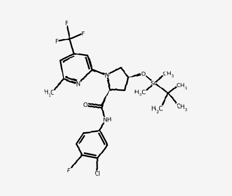 Cc1cc(C(F)(F)F)cc(N2C[C@@H](O[Si](C)(C)C(C)(C)C)C[C@H]2C(=O)Nc2ccc(F)c(Cl)c2)n1